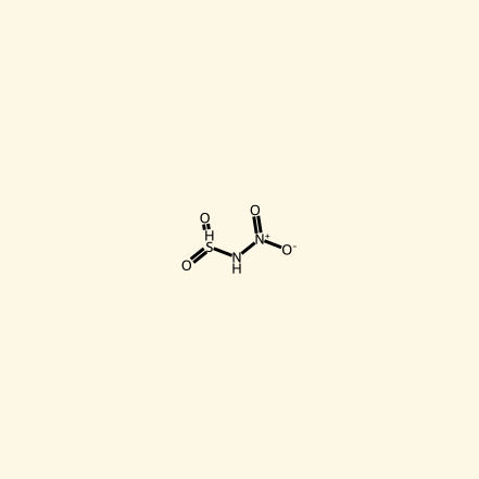 O=[N+]([O-])N[SH](=O)=O